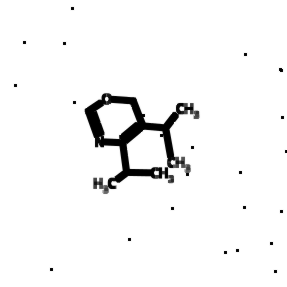 CC(C)C1=C(C(C)C)N=COC1